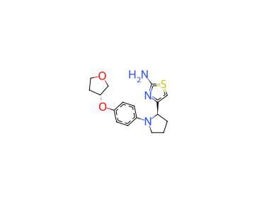 Nc1nc([C@H]2CCCN2c2ccc(O[C@@H]3CCOC3)cc2)cs1